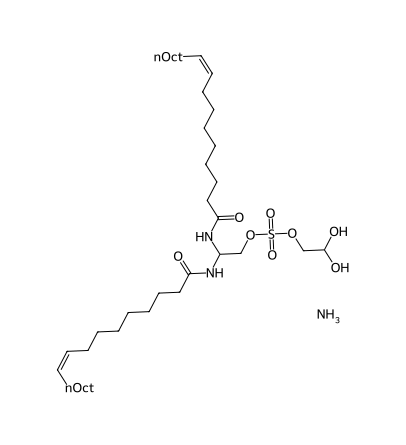 CCCCCCCC/C=C\CCCCCCCC(=O)NC(COS(=O)(=O)OCC(O)O)NC(=O)CCCCCCC/C=C\CCCCCCCC.N